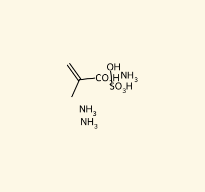 C=C(C)C(=O)O.N.N.N.O=S(=O)(O)O